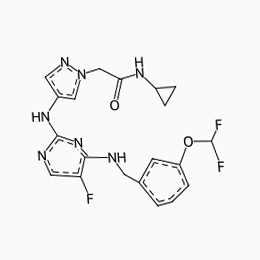 O=C(Cn1cc(Nc2ncc(F)c(NCc3cccc(OC(F)F)c3)n2)cn1)NC1CC1